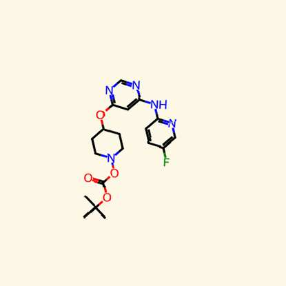 CC(C)(C)OC(=O)ON1CCC(Oc2cc(Nc3ccc(F)cn3)ncn2)CC1